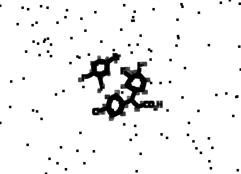 Fc1ccc(Br)cc1F.O=C(O)CC(c1ccc(Cl)cc1)c1ccc(F)c(F)c1